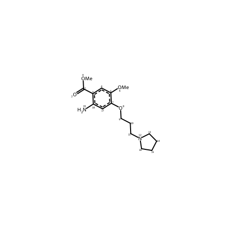 COC(=O)c1cc(OC)c(OCCCN2CCCC2)cc1N